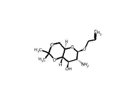 C=CCO[C@@H]1O[C@@H]2COC(C)(C)O[C@H]2[C@H](O)[C@H]1N